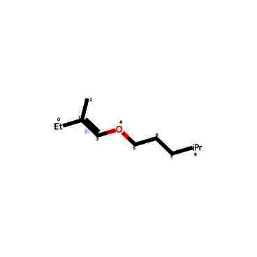 CC/C(C)=C/OCCCC(C)C